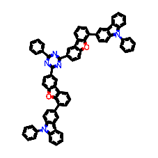 c1ccc(-c2nc(-c3ccc4oc5c(-c6ccc7c(c6)c6ccccc6n7-c6ccccc6)cccc5c4c3)nc(-c3ccc4oc5c(-c6ccc7c(c6)c6ccccc6n7-c6ccccc6)cccc5c4c3)n2)cc1